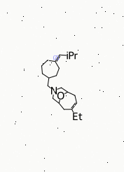 CCC1=CCC2CN(CC3CCC/C(=C/C(C)C)CC3)CC(C1)O2